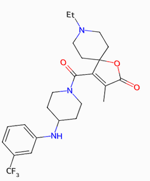 CCN1CCC2(CC1)OC(=O)C(C)=C2C(=O)N1CCC(Nc2cccc(C(F)(F)F)c2)CC1